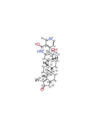 Cc1nccc2c1C(=O)NC1C[C@]3(C)[C@H]4CC[C@@H]5C6=C(C(C)C)C(=O)C[C@]6(C)CC[C@@]5(C)[C@]4(C)CC[C@H]3C(C)(C)[C@]21O